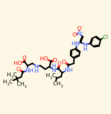 CC(C)CC(NC(=O)Cc1ccc(NC(=C[N+](=O)[O-])Nc2ccc(Cl)cc2)cc1)C(=O)NC(CCNCC(NC(=O)CC(C)(C)C)C(=O)O)C(=O)O